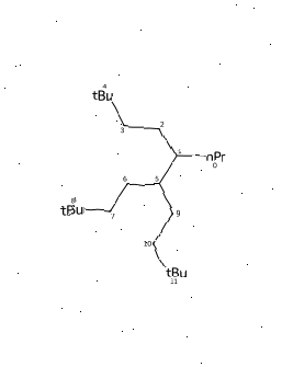 [CH2]CCC(CCC(C)(C)C)C(CCC(C)(C)C)CCC(C)(C)C